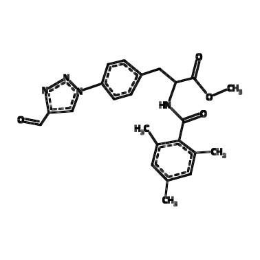 COC(=O)C(Cc1ccc(-n2cc(C=O)nn2)cc1)NC(=O)c1c(C)cc(C)cc1C